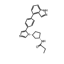 CCC(=O)N[C@H]1CC[C@@H](n2cncc2-c2ccc(-c3cccc4[nH]ncc34)cc2)C1